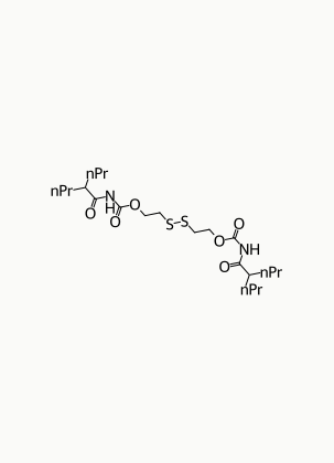 CCCC(CCC)C(=O)NC(=O)OCCSSCCOC(=O)NC(=O)C(CCC)CCC